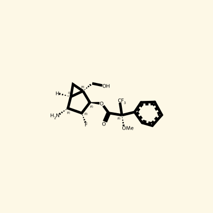 CO[C@@](C(=O)O[C@H]1[C@H](F)[C@H](N)[C@H]2C[C@]21CO)(c1ccccc1)C(F)(F)F